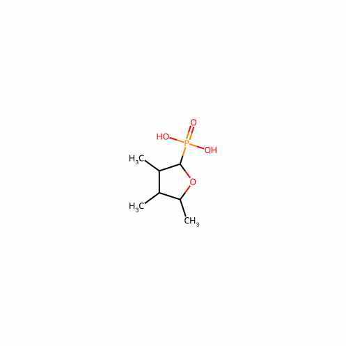 CC1OC(P(=O)(O)O)C(C)C1C